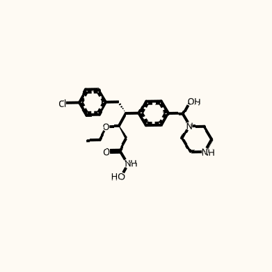 CCO[C@H](CC(=O)NO)[C@H](Cc1ccc(Cl)cc1)c1ccc(C(O)N2CCNCC2)cc1